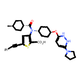 CC(C)C#Cc1cc(N(C(=O)[C@H]2CC[C@H](C)CC2)[C@H]2CC[C@H](OC3=CC=C(N4CCCC4)NN3)CC2)c(C(=O)O)s1